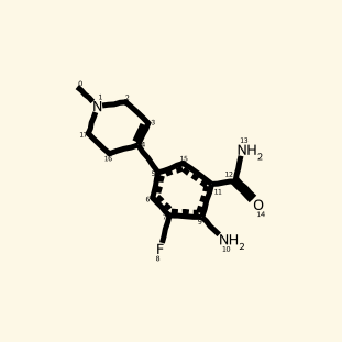 CN1CC=C(c2cc(F)c(N)c(C(N)=O)c2)CC1